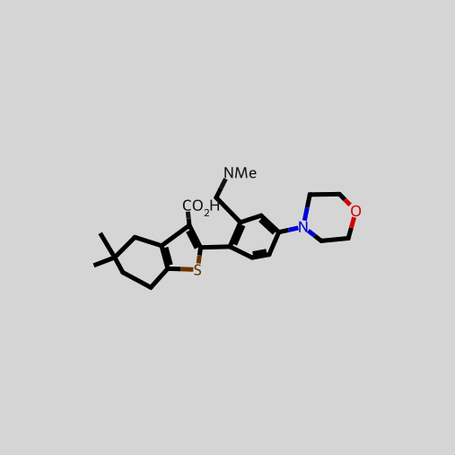 CNCc1cc(N2CCOCC2)ccc1-c1sc2c(c1C(=O)O)CC(C)(C)CC2